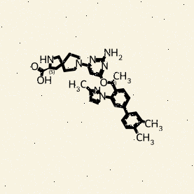 Cc1ccn(-c2cc(-c3ccc(C)c(C)c3)ccc2[C@@H](C)Oc2cc(N3CCC4(CC3)CN[C@H](C(=O)O)C4)nc(N)n2)n1